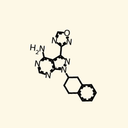 Nc1ncnc2c1c(-c1ncon1)nn2C1CCc2ccccc2C1